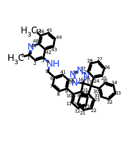 Cc1cc(NCc2ccc(-c3ccccc3C3(C(c4ccccc4)(c4ccccc4)c4ccccc4)N=NN=N3)cc2)c2cccc(C)c2n1